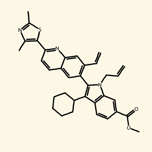 C=CCn1c(-c2cc3ccc(-c4sc(C)nc4C)nc3cc2C=C)c(C2CCCCC2)c2ccc(C(=O)OC)cc21